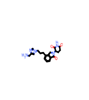 NCc1cn(CCCc2cccc3c2CN(C2CCC(=O)NC2=O)C3=O)cn1